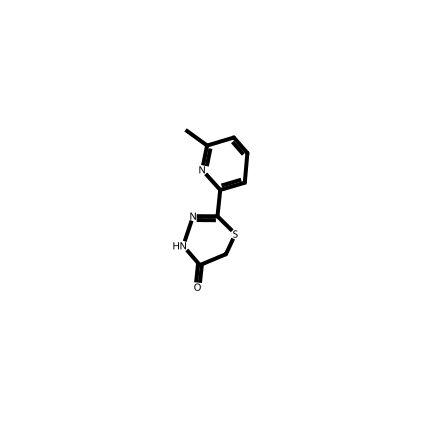 Cc1cccc(C2=NNC(=O)CS2)n1